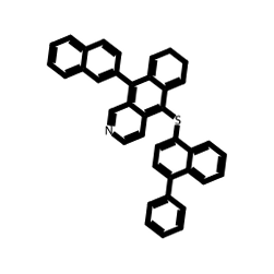 C1=c2c(Sc3ccc(-c4ccccc4)c4ccccc34)c3ccncc3c(-c3ccc4ccccc4c3)c2=CCC1